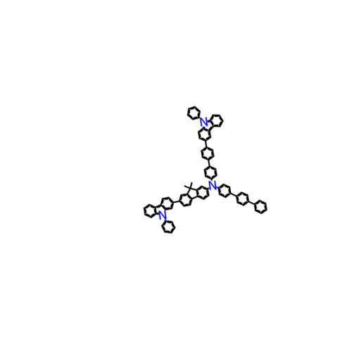 CC1(C)c2cc(-c3ccc4c5ccccc5n(-c5ccccc5)c4c3)ccc2-c2ccc(N(c3ccc(-c4ccc(-c5ccccc5)cc4)cc3)c3ccc(-c4ccc(-c5ccc6c(c5)c5ccccc5n6-c5ccccc5)cc4)cc3)cc21